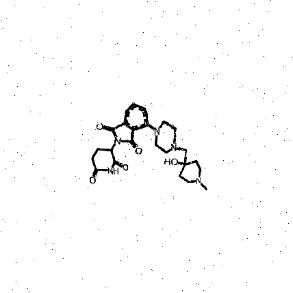 CN1CCC(O)(CN2CCN(c3cccc4c3C(=O)N(C3CCC(=O)NC3=O)C4=O)CC2)CC1